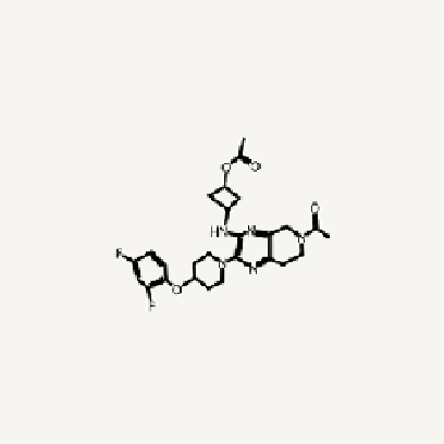 CC(=O)OC1CC(Nc2nc3c(nc2N2CCC(Oc4ccc(F)cc4F)CC2)CCN(C(C)=O)C3)C1